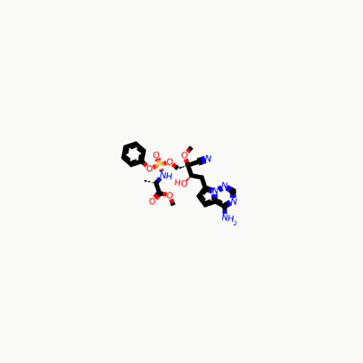 COC(=O)[C@H](C)NP(=O)(OC[C@@](C#N)(OC)[C@@H](O)Cc1ccc2c(N)ncnn12)Oc1ccccc1